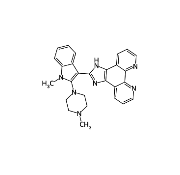 CN1CCN(c2c(-c3nc4c5cccnc5c5ncccc5c4[nH]3)c3ccccc3n2C)CC1